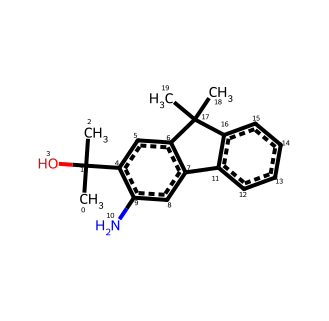 CC(C)(O)c1cc2c(cc1N)-c1ccccc1C2(C)C